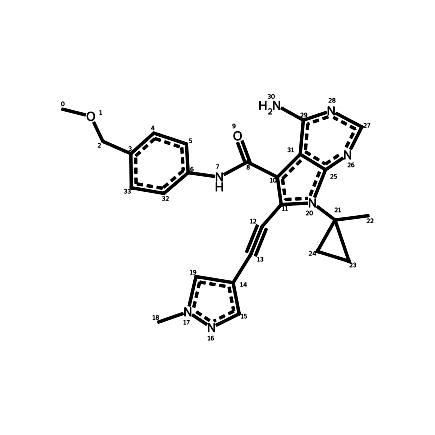 COCc1ccc(NC(=O)c2c(C#Cc3cnn(C)c3)n(C3(C)CC3)c3ncnc(N)c23)cc1